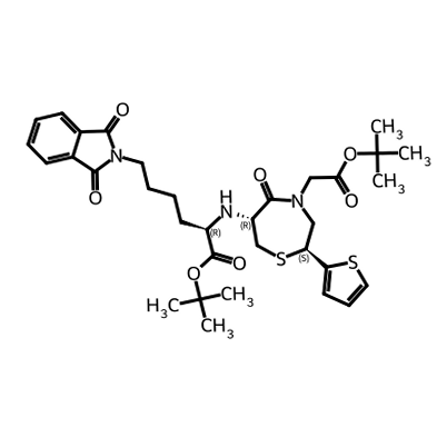 CC(C)(C)OC(=O)CN1C[C@@H](c2cccs2)SC[C@H](N[C@H](CCCCN2C(=O)c3ccccc3C2=O)C(=O)OC(C)(C)C)C1=O